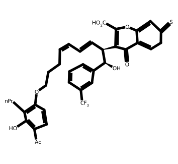 CCCc1c(OCCC/C=C\C=C\[C@@H](c2c(C(=O)O)oc3c(c2=O)=CCC(=S)C=3)[C@@H](O)c2cccc(C(F)(F)F)c2)ccc(C(C)=O)c1O